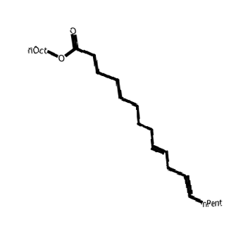 CCCCCC=CCC=CCCCCCCCC(=O)OCCCCCCCC